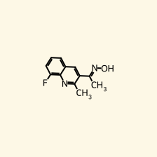 CC(=NO)c1cc2cccc(F)c2nc1C